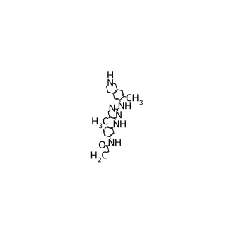 C=CC(=O)Nc1cccc(Nc2nc(Nc3cc4c(cc3C)CNCC4)ncc2C)c1